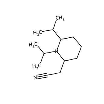 CC(C)C1CCCC(CC#N)N1C(C)C